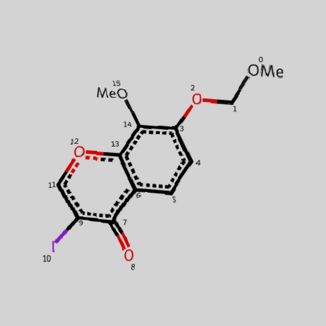 COCOc1ccc2c(=O)c(I)coc2c1OC